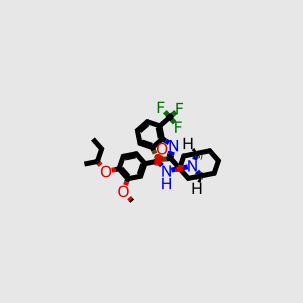 CCC(C)Oc1ccc(C(=O)NC2C[C@H]3CCC[C@@H](C2)N3Cc2nc3c(C(F)(F)F)cccc3s2)cc1OC